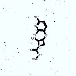 CC1C(Oc2ccc(C#N)nc2F)CN1C(=O)OC(C)(C)C